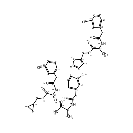 C[C@H](NC(=O)Cc1cccc(Cl)c1)C(=O)O.C[C@H](NC(=O)Cc1cccc(Cl)c1)C(=O)OCC1CC1.C[C@H](NC(=O)Cc1cccc(Cl)c1)C(=O)OCc1cccs1